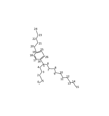 [CH2]CCCCC(CCCCCCCCCC)c1ccc(CCCCC)cc1